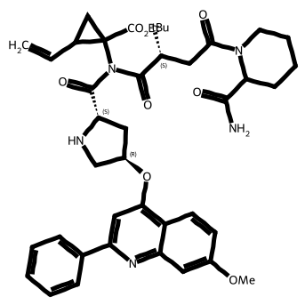 C=CC1CC1(C(=O)OCC)N(C(=O)[C@@H]1C[C@@H](Oc2cc(-c3ccccc3)nc3cc(OC)ccc23)CN1)C(=O)[C@@H](CC(=O)N1CCCCC1C(N)=O)C(C)(C)C